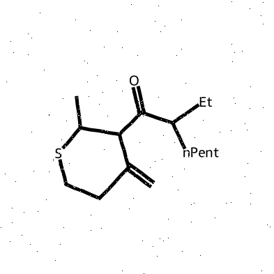 C=C1CCSC(C)C1C(=O)C(CC)CCCCC